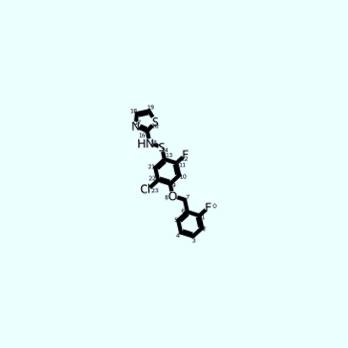 Fc1ccccc1COc1cc(F)c(SNc2nccs2)cc1Cl